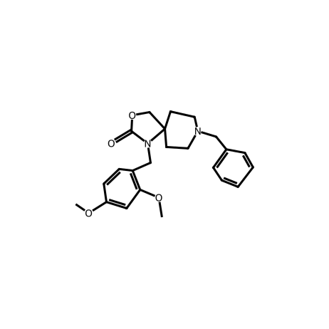 COc1ccc(CN2C(=O)OCC23CCN(Cc2ccccc2)CC3)c(OC)c1